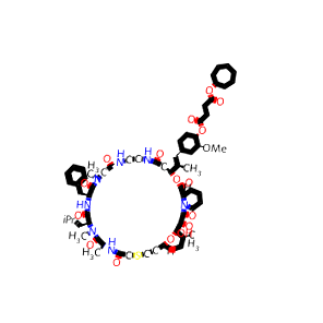 CO[C@@H]1C[C@H](C[C@@H](C)[C@@H]2CC(=O)NCCNC(=O)CN(C)C(=O)[C@H](Cc3ccccc3)NC(=O)[C@H](CC(C)C)N(C)C(=O)[C@H](C)NC(=O)CSCC[C@@H]3CC[C@@H](C)[C@@](O)(O3)C(=O)C(=O)N3CCCC[C@H]3C(=O)O2)CC[C@H]1OC(=O)CCC(=O)OC1CCCCCC1